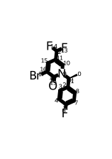 C[C@@H](c1ccc(F)cc1)n1cc(C(F)F)cc(Br)c1=O